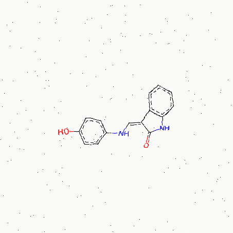 O=C1Nc2ccccc2C1=CNc1ccc(O)cc1